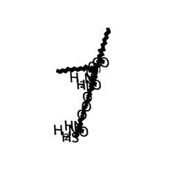 CCCCCCCCCCCC(=O)OC[C@H](CSC[C@H](N)C(=O)NCCCOCCOCCOCCCNC(=O)C(N)CS)OC(=O)CCCCCCCCCCC